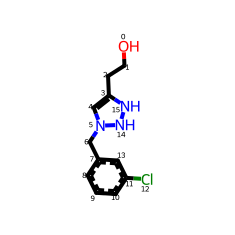 OCCC1=CN(Cc2cccc(Cl)c2)NN1